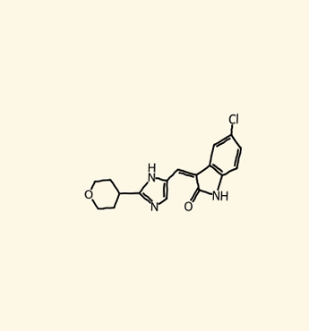 O=C1Nc2ccc(Cl)cc2C1=Cc1cnc(C2CCOCC2)[nH]1